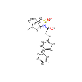 CC1CC2N(C(=O)CCc3ccc(-c4ccccc4)cc3)[S+]([O-])CC2(C)C1(C)C